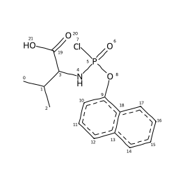 CC(C)C(NP(=O)(Cl)Oc1cccc2ccccc12)C(=O)O